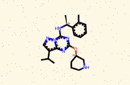 Cc1ccccc1[C@H](C)Nc1nc(O[C@@H]2CCCNC2)nc2c(C(C)C)cnn12